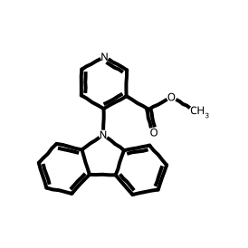 COC(=O)c1cnccc1-n1c2ccccc2c2ccccc21